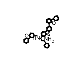 N/C(=C\C(NCc1ccc2oc3ccccc3c2c1)c1ccc2c(c1)sc1ccc(-c3cccc4c3oc3ccccc34)cc12)c1ccccc1